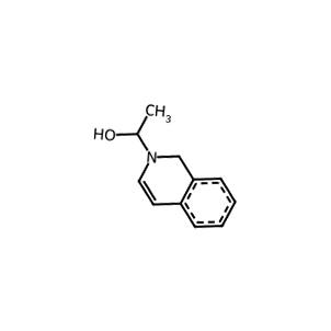 CC(O)N1C=Cc2ccccc2C1